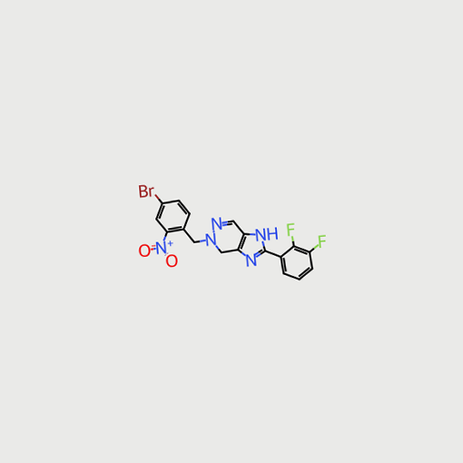 O=[N+]([O-])c1cc(Br)ccc1CN1Cc2nc(-c3cccc(F)c3F)[nH]c2C=N1